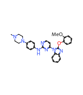 COc1ccccc1Oc1nc2ccccc2n1-c1ccnc(Nc2ccc(N3CCN(C)CC3)cc2)n1